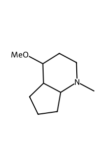 COC1CCN(C)C2CCCC12